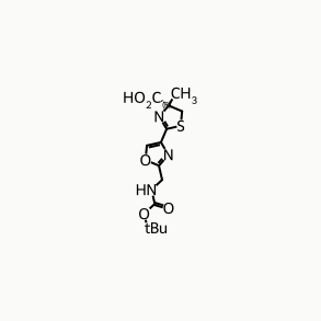 CC(C)(C)OC(=O)NCc1nc(C2=N[C@](C)(C(=O)O)CS2)co1